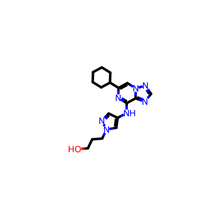 OCCCn1cc(Nc2nc(C3CCCCC3)cn3ncnc23)cn1